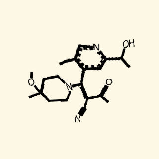 COC1(C)CCN(/C(=C(\C#N)C(C)=O)c2cc(C(C)O)ncc2C)CC1